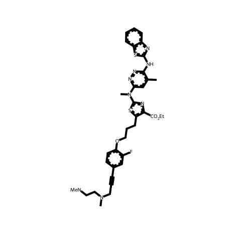 CCOC(=O)c1nc(N(C)c2cc(C)c(Nc3nc4ccccc4s3)nn2)sc1CCCOc1ccc(C#CCN(C)CCNC)cc1F